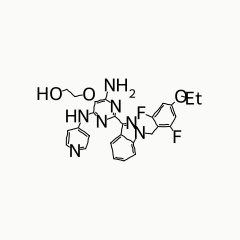 CCOc1cc(F)c(Cn2nc(-c3nc(N)c(OCCO)c(Nc4ccncc4)n3)c3ccccc32)c(F)c1